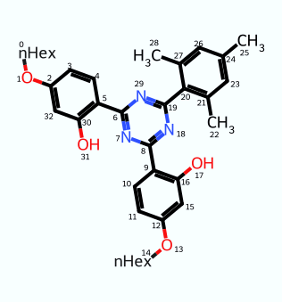 CCCCCCOc1ccc(-c2nc(-c3ccc(OCCCCCC)cc3O)nc(-c3c(C)cc(C)cc3C)n2)c(O)c1